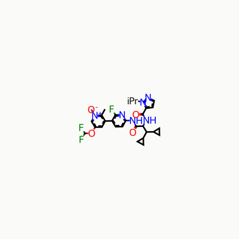 Cc1c(-c2ccc(NC(=O)C(NC(=O)c3ccnn3C(C)C)C(C3CC3)C3CC3)nc2F)cc(OC(F)F)c[n+]1[O-]